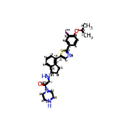 CC(C)Oc1ccc(-c2ncc(-c3cccc4c3CC[C@@H]4NCC(=O)N3CCNCC3)s2)cc1I